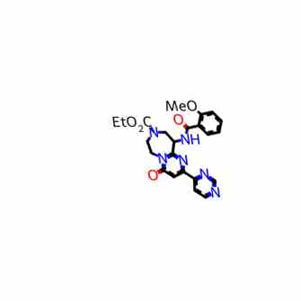 CCOC(=O)N1CCn2c(nc(-c3ccncn3)cc2=O)C(NC(=O)c2ccccc2OC)C1